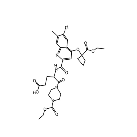 CCOC(=O)N1CCN(C(=O)C(CCC(=O)O)NC(=O)c2cc(OC3(C(=O)OCC)CCC3)c3cc(Cl)c(C)cc3n2)CC1